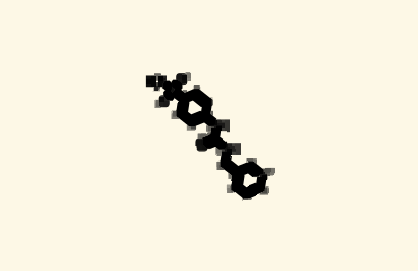 NS(=O)(=O)c1ccc(NC(=O)NCc2cccnc2)cc1